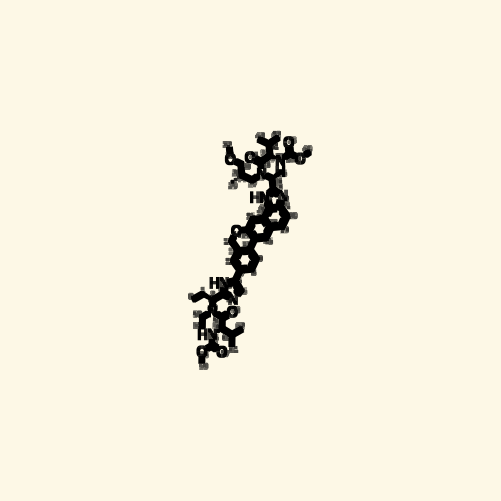 CC[C@@H](c1ncc(-c2ccc3c(c2)COc2cc4c(ccc5nc([C@H](C)N(C[C@H](C)COC)C(=O)[C@@H](NC(=O)OC)C(C)C)[nH]c54)cc2-3)[nH]1)N(CC)C(=O)[C@@H](NC(=O)OC)C(C)C